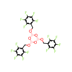 Fc1c(F)c(F)c(COB2OB(OCc3c(F)c(F)c(F)c(F)c3F)OB(OCc3c(F)c(F)c(F)c(F)c3F)O2)c(F)c1F